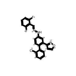 Fc1cccc(F)c1C=NNc1ccc(-c2ccccc2Cl)c(-c2ccon2)c1